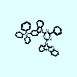 c1ccc(-c2nc(-n3c4ccccc4c4cc([Si](c5ccccc5)(c5ccccc5)c5ccccc5)ccc43)nc(-n3c4ccccc4n4c5ccccc5nc34)n2)cc1